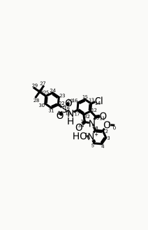 COc1ccc[n+](O)c1N1C(=O)c2c(Cl)ccc(NS(=O)(=O)c3ccc(C(C)(C)C)cc3)c2C1=O